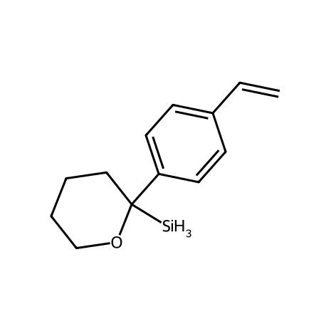 C=Cc1ccc(C2([SiH3])CCCCO2)cc1